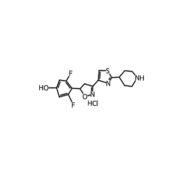 Cl.Oc1cc(F)c(C2CC(c3csc(C4CCNCC4)n3)=NO2)c(F)c1